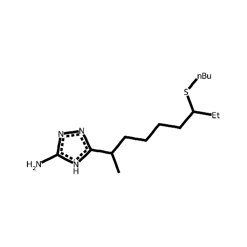 CCCCSC(CC)CCCCC(C)c1nnc(N)[nH]1